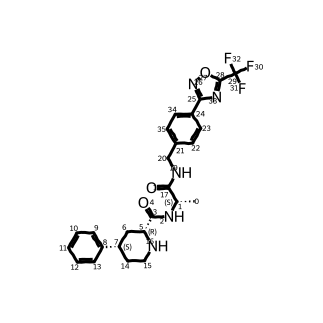 C[C@H](NC(=O)[C@H]1C[C@@H](c2ccccc2)CCN1)C(=O)NCc1ccc(-c2noc(C(F)(F)F)n2)cc1